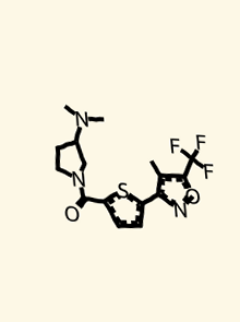 Cc1c(-c2ccc(C(=O)N3CCC(N(C)C)C3)s2)noc1C(F)(F)F